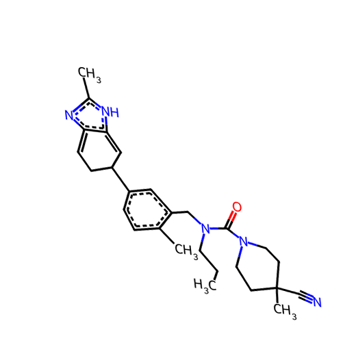 CCCN(Cc1cc(C2C=c3[nH]c(C)nc3=CC2)ccc1C)C(=O)N1CCC(C)(C#N)CC1